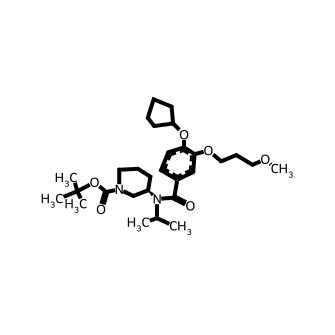 COCCCOc1cc(C(=O)N(C(C)C)[C@@H]2CCCN(C(=O)OC(C)(C)C)C2)ccc1OC1CCCC1